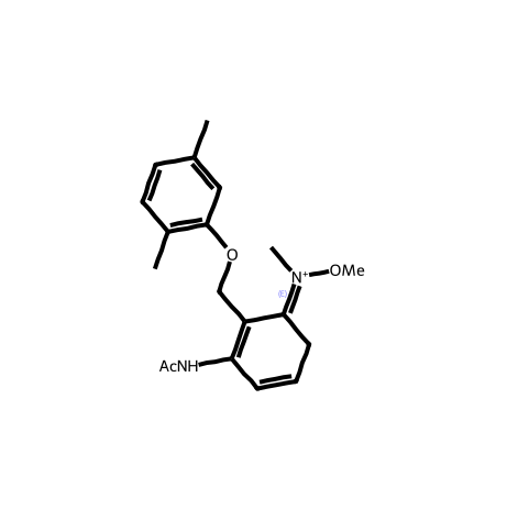 CO/[N+](C)=C1\CC=CC(NC(C)=O)=C1COc1cc(C)ccc1C